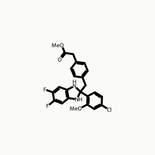 COC(=O)Cc1ccc(CC2(c3ccc(Cl)cc3OC)Nc3cc(F)c(F)cc3N2)cc1